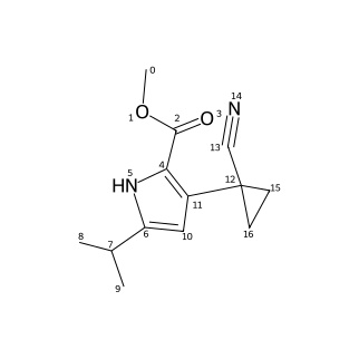 COC(=O)c1[nH]c(C(C)C)cc1C1(C#N)CC1